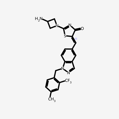 Cc1ccc(Cn2ncc3cc(/C=C4\SC(N5CC(N)C5)=NC4=O)ccc32)c(C(F)(F)F)c1